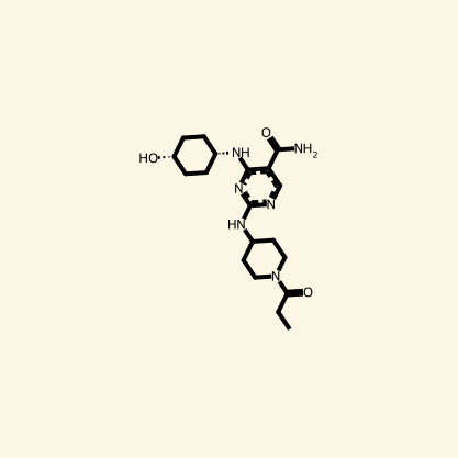 CCC(=O)N1CCC(Nc2ncc(C(N)=O)c(N[C@H]3CC[C@@H](O)CC3)n2)CC1